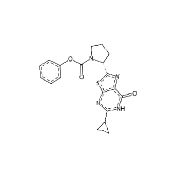 O=C(Oc1ccccc1)N1CCC[C@@H]1c1nc2c(=O)[nH]c(C3CC3)nc2s1